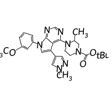 CC1CN(C(=O)OC(C)(C)C)CCN1c1ncnc2c1c(-c1cnn(C)c1)cn2-c1cccc(OC(F)(F)F)c1